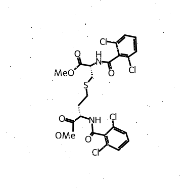 COC(=O)[C@H](CCSC[C@@H](NC(=O)c1c(Cl)cccc1Cl)C(=O)OC)NC(=O)c1c(Cl)cccc1Cl